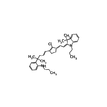 CCCNc1ccccc1C(C)(C)C/C=C/C1=C(Cl)C(=C/C=C2/N(CCC)c3ccccc3C2(C)C)/CC1